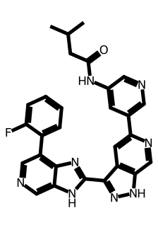 CC(C)CC(=O)Nc1cncc(-c2cc3c(-c4nc5c(-c6ccccc6F)cncc5[nH]4)n[nH]c3cn2)c1